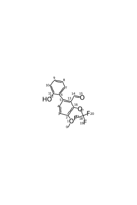 COc1ccc(-c2ccccc2O)c(C=O)c1OC(F)(F)F